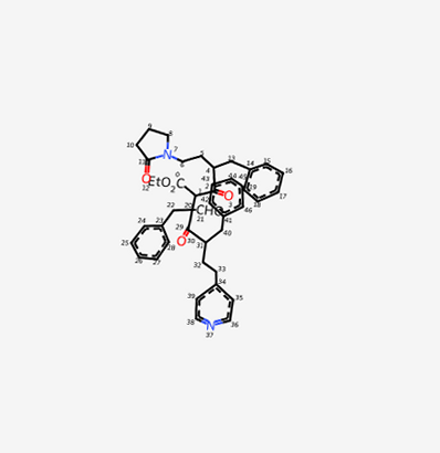 CCOC(=O)C(C(=O)C(CCN1CCCC1=O)Cc1ccccc1)C([C]=O)(Cc1ccccc1)C(=O)C(CCc1ccncc1)Cc1ccccc1